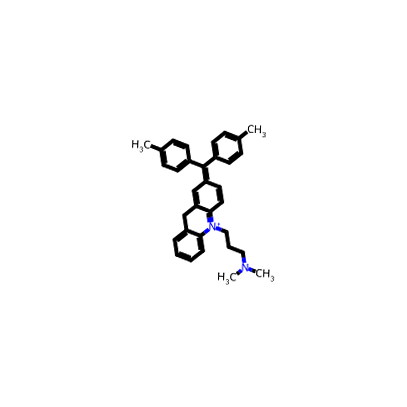 Cc1ccc(C(c2ccc(C)cc2)=c2ccc3c(c2)Cc2ccccc2[N+]=3CCCN(C)C)cc1